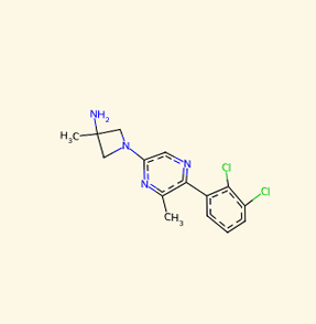 Cc1nc(N2CC(C)(N)C2)cnc1-c1cccc(Cl)c1Cl